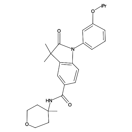 CC(C)Oc1cccc(N2C(=O)C(C)(C)c3cc(C(=O)NC4(C)CCOCC4)ccc32)c1